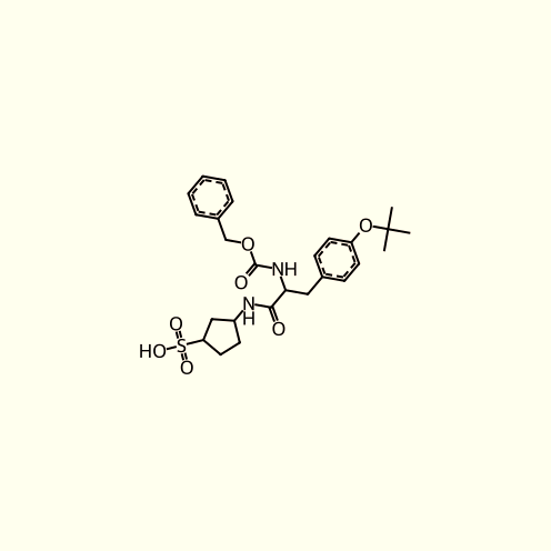 CC(C)(C)Oc1ccc(CC(NC(=O)OCc2ccccc2)C(=O)NC2CCC(S(=O)(=O)O)C2)cc1